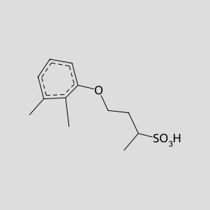 Cc1cccc(OCCC(C)S(=O)(=O)O)c1C